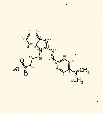 CN(C)c1ccc(/N=N/c2sc3ccccc3[n+]2CCCS(=O)(=O)[O-])cc1